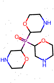 O=P(C1CNCCO1)(C1CNCCO1)C1CNCCO1